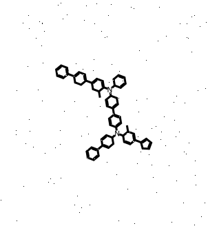 CC1CC(C2=CC=C(c3ccccc3)CC2)=CC=C1N(C1C=CC=CC1)C1C=CC(c2ccc(N(C3C=CC(c4ccccc4)=CC3)C3C=CC(C4=CC=CC4)=CC3C)cc2)=CC1